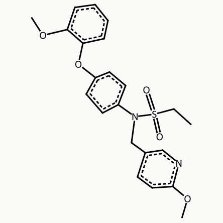 CCS(=O)(=O)N(Cc1ccc(OC)nc1)c1ccc(Oc2ccccc2OC)cc1